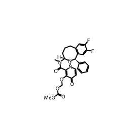 COC(=O)OCOc1c2n(ccc1=O)N1[C@H](c3ccccc3)c3cc(F)c(F)cc3CCC[C@H]1N(C)C2=O